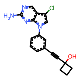 Nc1ncc2c(Cl)cn(-c3cccc(C#CC4(O)CCC4)c3)c2n1